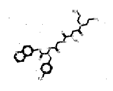 NCCN(CCN)C(=O)C[C@H](N)C(=O)NCC(=O)N[C@@H](Cc1ccc(C(F)(F)F)cc1)C(=O)Nc1ccc2ncccc2c1